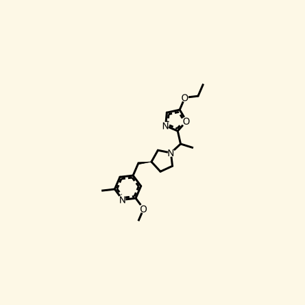 CCOc1cnc(C(C)N2CC[C@@H](Cc3cc(C)nc(OC)c3)C2)o1